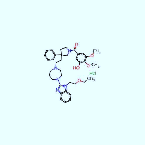 CCOCCn1c(N2CCCN(CCC3(c4ccccc4)CCN(C(=O)c4cc(O)c(OC)c(OC)c4)C3)CC2)nc2ccccc21.Cl